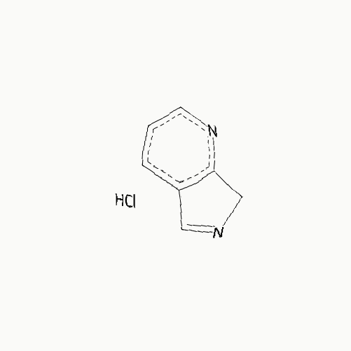 C1=NCc2ncccc21.Cl